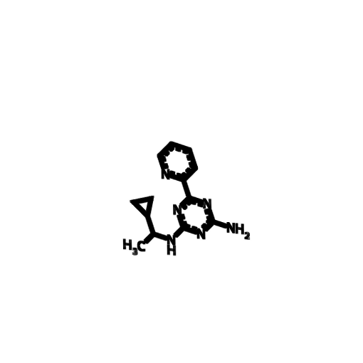 CC(Nc1nc(N)nc(-c2ccccn2)n1)C1CC1